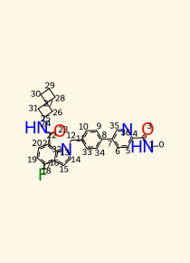 CNC(=O)c1ccc(-c2ccc(Cn3ccc4c(F)ccc(C(=O)NC5CC6(CCC6)C5)c43)cc2)cn1